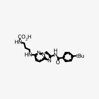 CC(C)(C)c1ccc(C(=O)Nc2cn3nc(NCCCNC(=O)O)ccc3n2)cc1